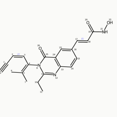 C#C/C=C\C(=C(C)C)n1c(CC)nc2ccc(/C=C/C(=O)NO)cc2c1=O